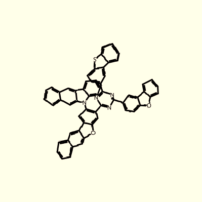 c1ccc2cc3c(cc2c1)oc1cc(-c2nc(-c4ccc5oc6ccccc6c5c4)nc(-c4ccc5sc6ccccc6c5c4)n2)c(-n2c4ccccc4c4cc5ccccc5cc42)cc13